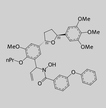 C=CC(c1cc([C@@H]2CC[C@@H](c3cc(OC)c(OC)c(OC)c3)O2)cc(OC)c1OCCC)N(O)C(=O)c1cccc(Oc2ccccc2)c1